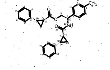 Cc1ccc([C@H](COC(=O)[C@H]2C[C@@H]2c2ccccc2)NC(=O)[C@H]2C[C@@H]2c2ccccc2)cn1